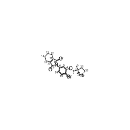 CC1(COc2cc(N3C(=O)C4=C(CCCC4)C3=O)ccc2Br)CCSS1